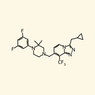 CC1(C)CN(Cc2ccn3c(CC4CC4)nnc3c2C(F)(F)F)CCN1c1cc(F)cc(F)c1